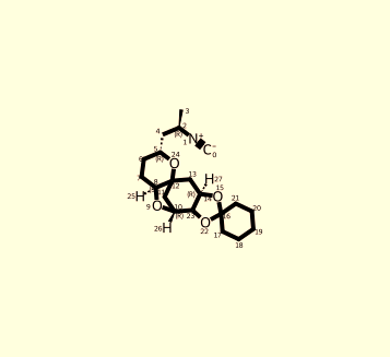 [C-]#[N+][C@H](C)C[C@H]1CC[C@@H]2O[C@@H]3CC2(C[C@H]2OC4(CCCCC4)OC32)O1